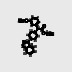 CCCCOC(=O)C(c1cccc(OC)c1)N1CCN(c2nsc3ccccc23)CC1